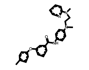 Cc1ccc(Oc2cccc(C(=O)Nc3ccc(N(C)CCN(C)c4ccccn4)cc3)c2)cc1